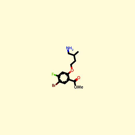 COC(=O)c1cc(Br)c(F)cc1OCCC(C)CN